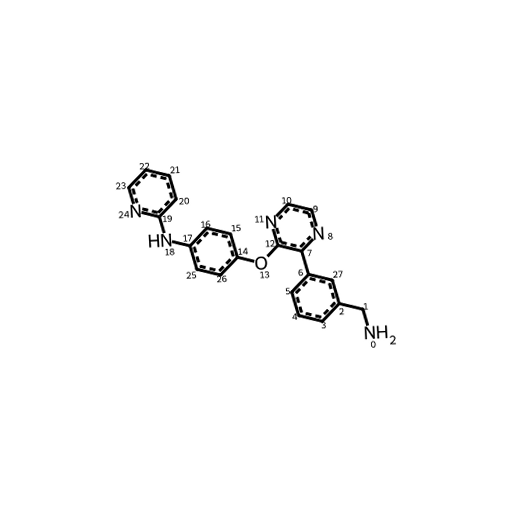 NCc1cccc(-c2nccnc2Oc2ccc(Nc3ccccn3)cc2)c1